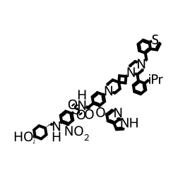 CC(C)c1ccccc1C1CN(Cc2cccc3sccc23)CCN1C1CC2(CCN(c3ccc(C(=O)NS(=O)(=O)c4ccc(NC[C@H]5CC[C@](C)(O)CC5)c([N+](=O)[O-])c4)c(Oc4cnc5[nH]ccc5c4)c3)CC2)C1